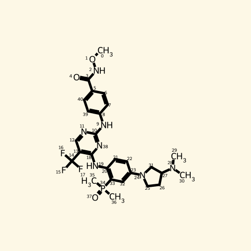 CONC(=O)c1ccc(Nc2ncc(C(F)(F)F)c(Nc3ccc(N4CCC(N(C)C)C4)cc3P(C)(C)=O)n2)cc1